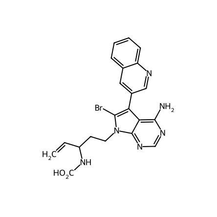 C=CC(CCn1c(Br)c(-c2cnc3ccccc3c2)c2c(N)ncnc21)NC(=O)O